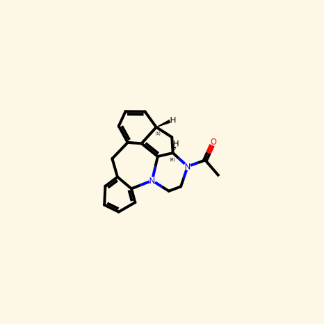 CC(=O)N1CCN2C3=C4C(=CC=C[C@@H]4C[C@H]31)Cc1ccccc12